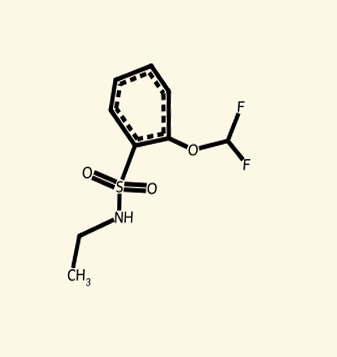 CCNS(=O)(=O)c1ccccc1OC(F)F